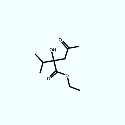 CCOC(=O)C(O)(CC(C)=O)C(C)C